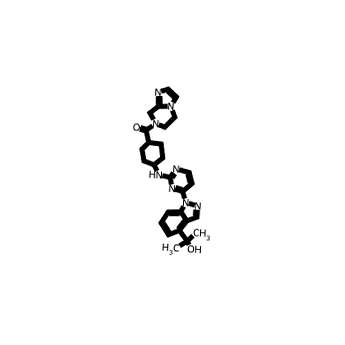 CC(C)(O)c1cccc2c1cnn2-c1ccnc(NC2CCC(C(=O)N3CCn4ccnc4C3)CC2)n1